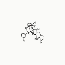 O=C1NCC[C@@H]1C[C@@H](NC(=O)[C@H]1[C@H]2CC[C@H](CC2(F)F)N1C(=O)C(F)(F)c1cccc(Cl)c1)C(=O)CF